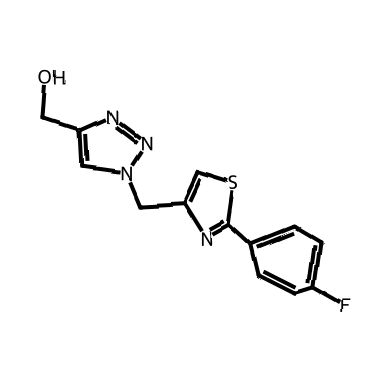 OCc1cn(Cc2csc(-c3ccc(F)cc3)n2)nn1